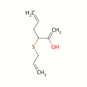 C=CCS[C](CC=C)C(=C)O